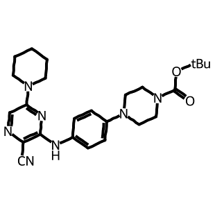 CC(C)(C)OC(=O)N1CCN(c2ccc(Nc3nc(N4CCCCC4)cnc3C#N)cc2)CC1